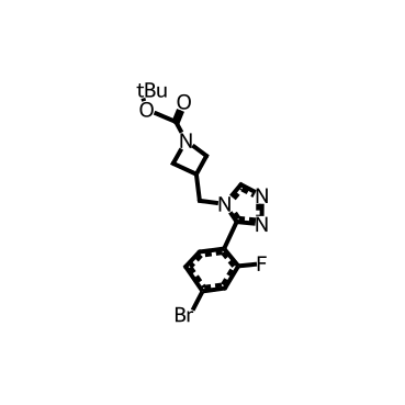 CC(C)(C)OC(=O)N1CC(Cn2cnnc2-c2ccc(Br)cc2F)C1